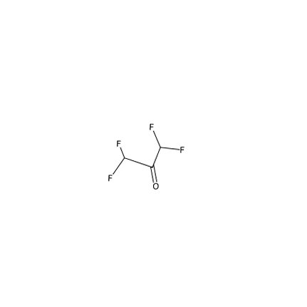 O=C(C(F)F)C(F)F